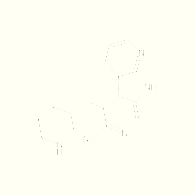 N#Cc1ncc2[nH]c3ncccc3c2c1O[C@H]1CCCNC1